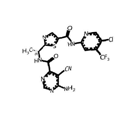 C[C@@H](NC(=O)c1ncnc(N)c1C#N)c1ncc(C(=O)Nc2cc(C(F)(F)F)c(Cl)cn2)s1